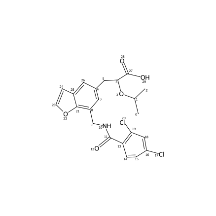 CC(C)OC(Cc1cc(CNC(=O)c2ccc(Cl)cc2Cl)c2occc2c1)C(=O)O